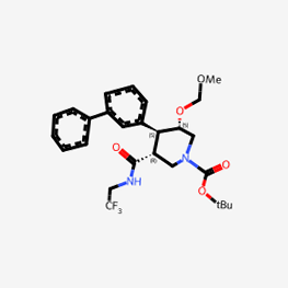 COCO[C@@H]1CN(C(=O)OC(C)(C)C)C[C@H](C(=O)NCC(F)(F)F)[C@H]1c1cccc(-c2ccccc2)c1